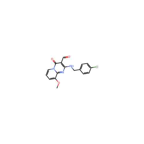 COc1cccn2c(=O)c(C=O)c(NCc3ccc(Cl)cc3)nc12